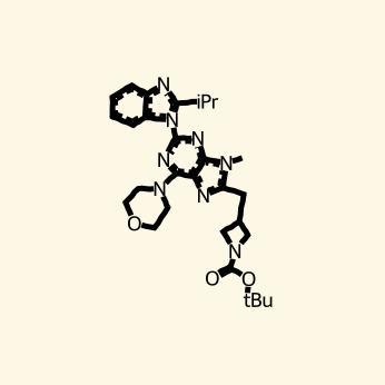 CC(C)c1nc2ccccc2n1-c1nc(N2CCOCC2)c2nc(CC3CN(C(=O)OC(C)(C)C)C3)n(C)c2n1